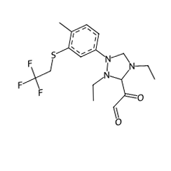 CCN1CN(c2ccc(C)c(SCC(F)(F)F)c2)N(CC)C1C(=O)C=O